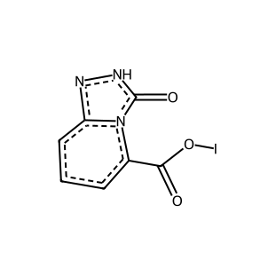 O=C(OI)c1cccc2n[nH]c(=O)n12